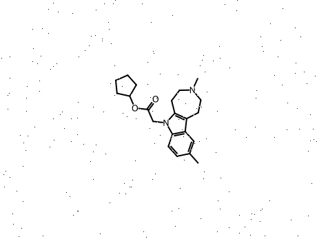 Cc1ccc2c(c1)c1c(n2CC(=O)OC2CCCC2)CCN(C)CC1